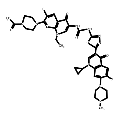 CCn1cc(NC(=O)Nc2nnc(-c3cn(C4CC4)c4cc(N5CCN(C)CC5)c(F)cc4c3=O)o2)c(=O)c2cc(F)c(N3CCN(C(C)=O)CC3)nc21